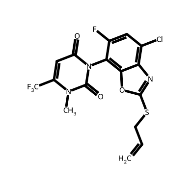 C=CCSc1nc2c(Cl)cc(F)c(-n3c(=O)cc(C(F)(F)F)n(C)c3=O)c2o1